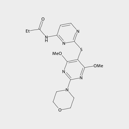 CCC(=O)Nc1ccnc(Sc2c(OC)nc(N3CCOCC3)nc2OC)n1